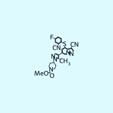 COC(=O)N1CCC(n2ncc(-c3cc(Sc4ccc(F)cc4C#N)c4c(C#N)cnn4c3)c2C)CC1